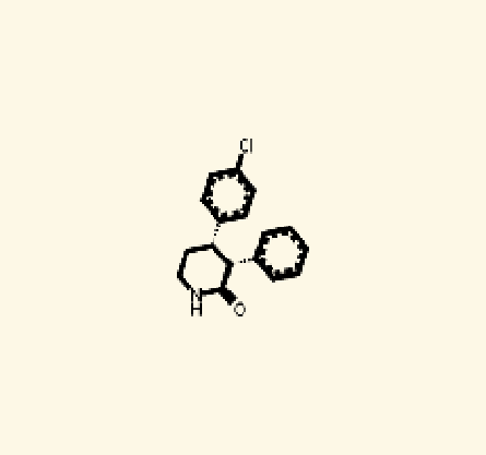 O=C1NCC[C@H](c2ccc(Cl)cc2)[C@@H]1c1ccccc1